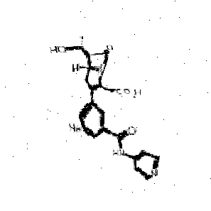 C[C@@H](O)[C@H]1C(=O)N2C(C(=O)O)=C(c3cccc(C(=O)Nc4ccncc4)c3)C[C@H]12.[Na]